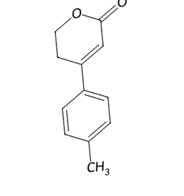 Cc1ccc(C2=CC(=O)OCC2)cc1